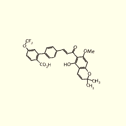 COc1cc2c(c(O)c1C(=O)/C=C/c1ccc(-c3cc(OC(F)(F)F)ccc3C(=O)O)cc1)C=CC(C)(C)O2